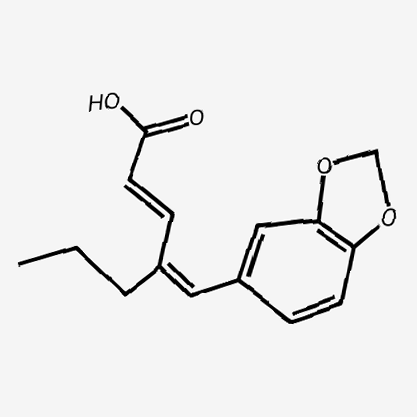 CCCC(C=CC(=O)O)=Cc1ccc2c(c1)OCO2